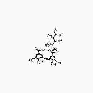 O=C(O)c1cc(O)c(O)c(O)c1.O=C(O)c1cc(O)c(O)c(O)c1.O=CC(O)C(O)C(O)C(O)CO